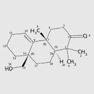 CC1(C)C(=O)CC[C@@]2(C)C3=CCCC[C@@]3(CO)CC[C@H]12